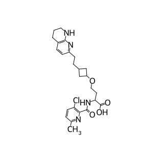 Cc1ccc(Cl)c(C(=O)NC(CCOC2CC(CCc3ccc4c(n3)NCCC4)C2)C(=O)O)n1